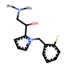 CCC(C)N(CC(O)c1cccn1Cc1ccccc1F)C(C)CC